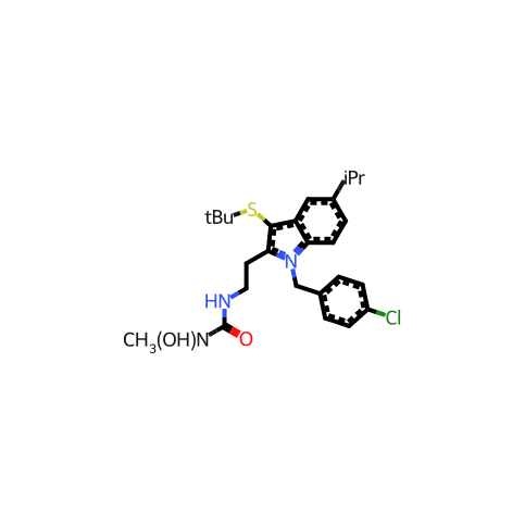 CC(C)c1ccc2c(c1)c(SC(C)(C)C)c(CCNC(=O)N(C)O)n2Cc1ccc(Cl)cc1